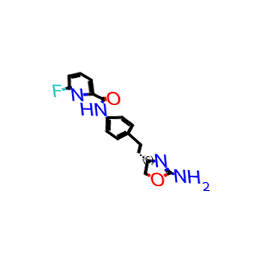 NC1=N[C@@H](CCc2ccc(NC(=O)c3cccc(F)n3)cc2)CO1